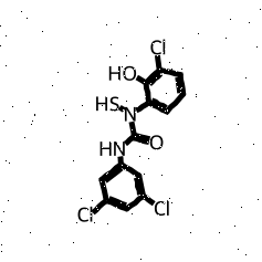 O=C(Nc1cc(Cl)cc(Cl)c1)N(S)c1cccc(Cl)c1O